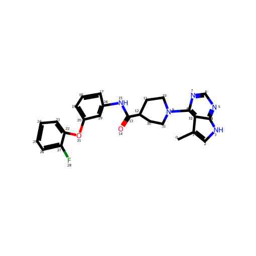 Cc1c[nH]c2ncnc(N3CCC(C(=O)Nc4cccc(Oc5ccccc5F)c4)CC3)c12